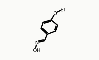 CCOc1ccc(/C=N/O)cc1